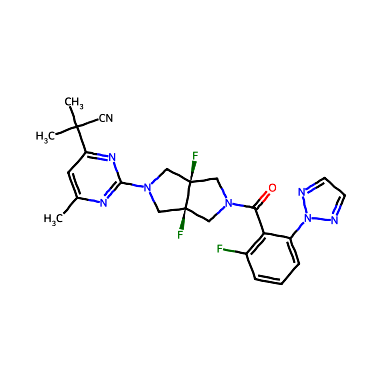 Cc1cc(C(C)(C)C#N)nc(N2C[C@]3(F)CN(C(=O)c4c(F)cccc4-n4nccn4)C[C@]3(F)C2)n1